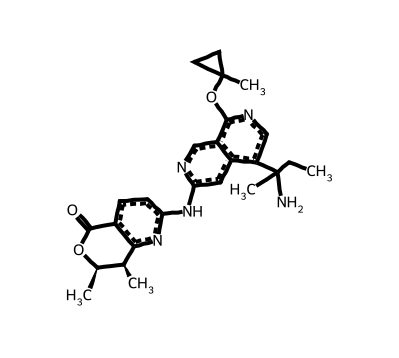 CCC(C)(N)c1cnc(OC2(C)CC2)c2cnc(Nc3ccc4c(n3)[C@@H](C)[C@@H](C)OC4=O)cc12